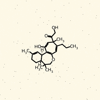 CCCC1=CC2=C(C(O)=CC1(C)C(=O)CO)[C@@H]1C=C(C)CC[C@H]1C(C)(C)CO2